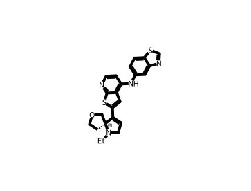 CCN1CC=C(c2cc3c(Nc4ccc5scnc5c4)ccnc3s2)[C@@]12CCOC2